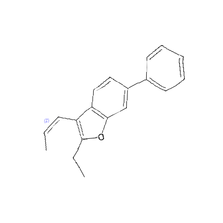 C/C=C\c1c(CC)oc2cc(-c3ccccc3)ccc12